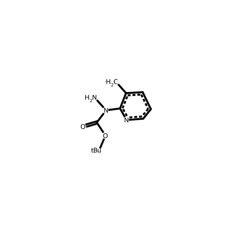 [CH2]c1cccnc1N(N)C(=O)OC(C)(C)C